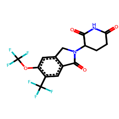 O=C1CCC(N2Cc3cc(OC(F)(F)F)c(C(F)(F)F)cc3C2=O)C(=O)N1